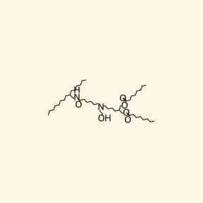 CCCCCCCCC(CCCCCC)CNC(=O)CCCCCN(CCO)CCCCC(COC(=O)CCCCCCC)COC(=O)CCCCCCC